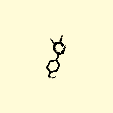 CCCCCC1CCC(c2cnc(F)c(F)c2)CC1